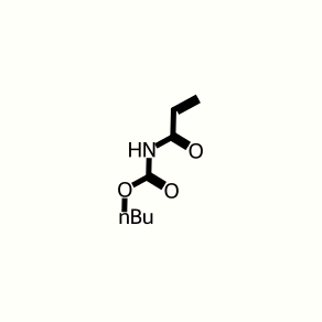 C=CC(=O)NC(=O)OCCCC